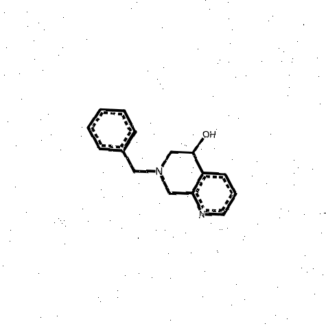 OC1CN(Cc2ccccc2)Cc2ncccc21